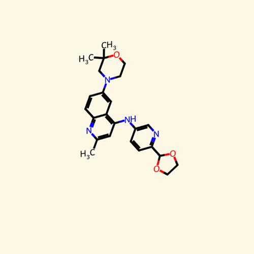 Cc1cc(Nc2ccc(C3OCCO3)nc2)c2cc(N3CCOC(C)(C)C3)ccc2n1